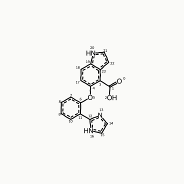 O=C(O)c1c(Oc2ccccc2-c2ncc[nH]2)ccc2[nH]ccc12